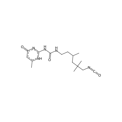 Cc1cc(=O)nc(NC(=O)NCCC(C)CC(C)(C)CN=C=O)[nH]1